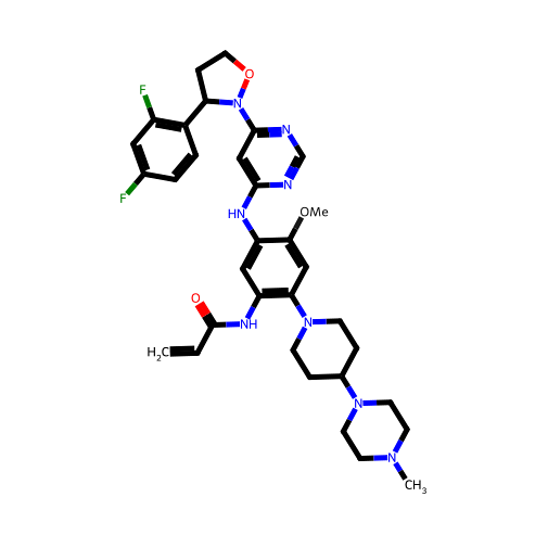 C=CC(=O)Nc1cc(Nc2cc(N3OCCC3c3ccc(F)cc3F)ncn2)c(OC)cc1N1CCC(N2CCN(C)CC2)CC1